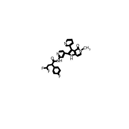 Cn1ccc2[nH]c(-c3ccnc(NC(=O)C(CC(F)F)c4ccc(F)cc4)c3)c(-c3cccnc3)c2c1=O